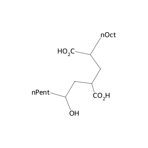 CCCCCCCCC(CC(CC(O)CCCCC)C(=O)O)C(=O)O